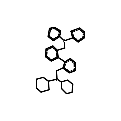 c1ccc(P(Cc2ccccc2-c2ccccc2CP(C2CCCCC2)C2CCCCC2)c2ccccc2)cc1